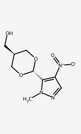 Cn1ncc([N+](=O)[O-])c1[C@H]1OC[C@H](CO)CO1